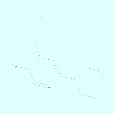 CCCc1cc(N2CCOCC2)ccc1N